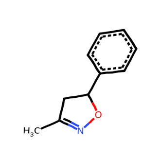 CC1=NOC(c2ccccc2)C1